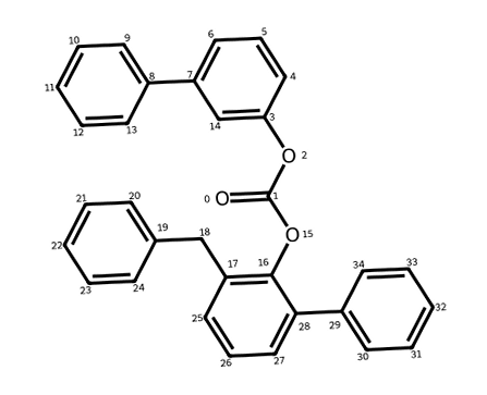 O=C(Oc1cccc(-c2ccccc2)c1)Oc1c(Cc2ccccc2)cccc1-c1ccccc1